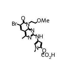 COCCn1c(=O)c(Br)cc2c(C)nc(Nc3cc(OC(=O)O)n(C)c3)nc21